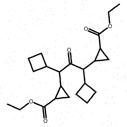 CCOC(=O)C1CC1C(C(=O)C(C1CCC1)C1CC1C(=O)OCC)C1CCC1